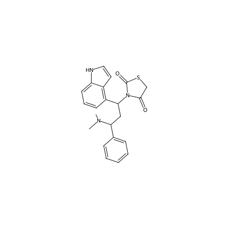 CN(C)C(CC(c1cccc2[nH]ccc12)N1C(=O)CSC1=O)c1ccccc1